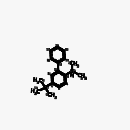 C[SiH](C)c1ccc([Si](C)(C)C)cc1-c1ccccc1